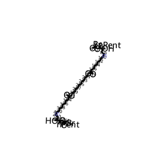 CCCCCC(OC(=O)Br)C(O)C/C=C\CCCCCCCC(=O)OCCCCCCCCCCOC(=O)CCCCCCC/C=C\CC(O)C(CCCCC)OC(=O)CBr